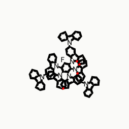 Fc1c(-n2c3ccccc3c3cc(-n4c5ccccc5c5ccccc54)ccc32)c(-n2c3ccccc3c3ccccc32)c(-n2c3ccccc3c3cc(-n4c5ccccc5c5ccccc54)ccc32)c(-n2c3ccccc3c3ccccc32)c1-n1c2ccccc2c2cc(-n3c4ccccc4c4ccccc43)ccc21